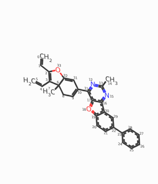 C=CC1=C(C=C)C2(C)CC=C(c3nc(C)nc4c3oc3ccc(-c5ccccc5)cc34)C=C2O1